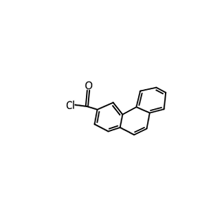 O=C(Cl)c1ccc2ccc3ccccc3c2c1